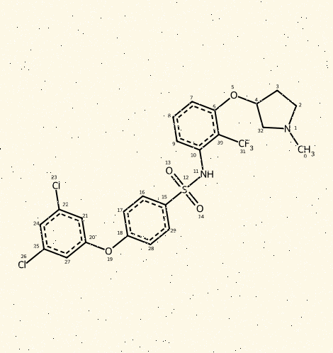 CN1CCC(Oc2cccc(NS(=O)(=O)c3ccc(Oc4cc(Cl)cc(Cl)c4)cc3)c2C(F)(F)F)C1